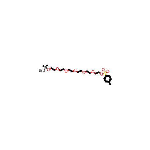 Cc1ccc(S(=O)(=O)OCCOCCOCCOCCOCCOCCO[Si](C)(C)C(C)(C)C)cc1